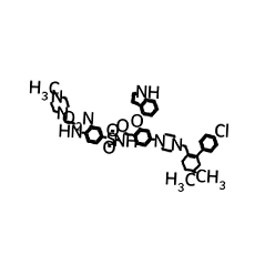 CN1CCN(CCNc2ccc(S(=O)(=O)NC(=O)c3ccc(N4CCN(CC5=C(c6ccc(Cl)cc6)CC(C)(C)CC5)CC4)cc3Oc3cccc4[nH]ccc34)cc2[N+](=O)[O-])CC1